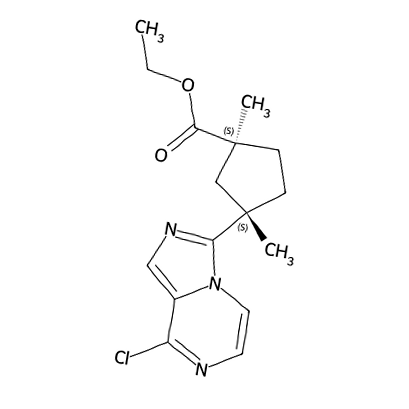 CCOC(=O)[C@@]1(C)CC[C@](C)(c2ncc3c(Cl)nccn23)C1